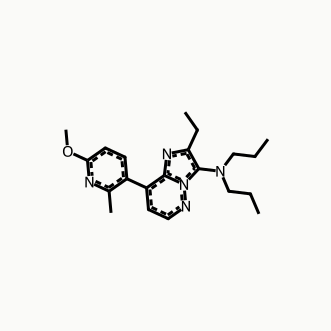 CCCN(CCC)c1c(CC)nc2c(-c3ccc(OC)nc3C)ccnn12